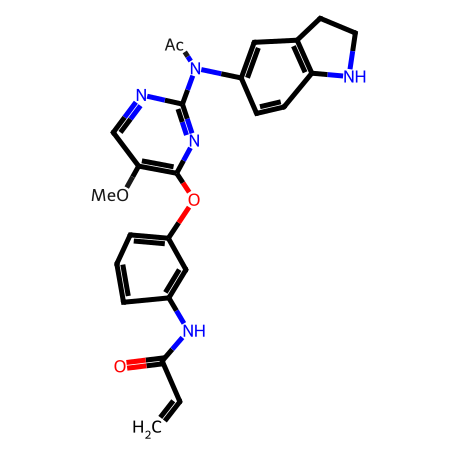 C=CC(=O)Nc1cccc(Oc2nc(N(C(C)=O)c3ccc4c(c3)CCN4)ncc2OC)c1